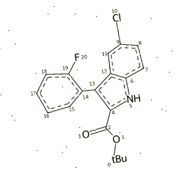 CC(C)(C)OC(=O)c1[nH]c2ccc(Cl)cc2c1-c1ccccc1F